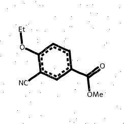 CCOc1ccc(C(=O)OC)cc1C#N